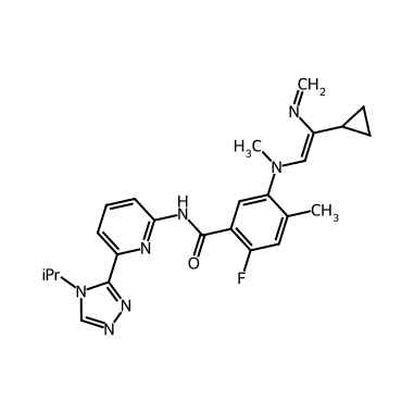 C=N/C(=C\N(C)c1cc(C(=O)Nc2cccc(-c3nncn3C(C)C)n2)c(F)cc1C)C1CC1